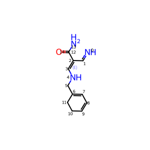 N=C/C(=C\NCC1=CC=CCC1)C(N)=O